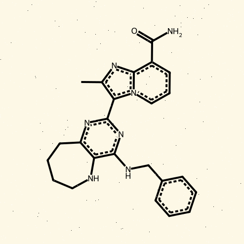 Cc1nc2c(C(N)=O)cccn2c1-c1nc2c(c(NCc3ccccc3)n1)NCCCC2